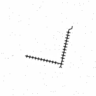 CCCC(F)(F)C(F)(F)C(F)(F)C(F)(F)C(F)(F)C(F)(F)C(F)(F)C(F)(F)C(F)(F)C(F)(F)C(F)(F)C(F)([C](F)F)C(F)(F)C(F)(F)C(F)(F)C(F)(F)C(F)(F)C(F)(F)C(F)(F)C(F)(F)C(F)(F)C(F)(F)C(F)(F)C(F)(F)F